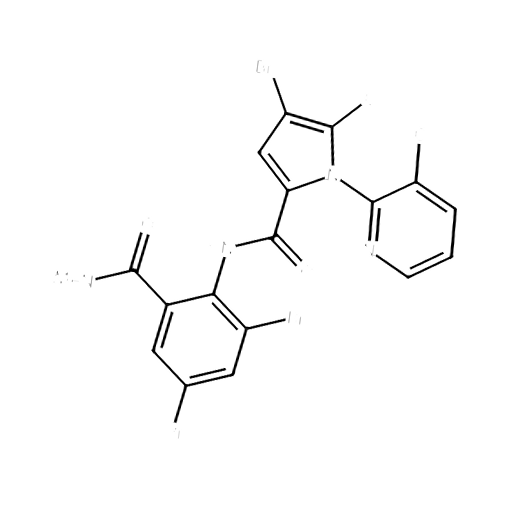 CNC(=O)c1cc(Br)cc(Br)c1NC(=O)c1cc(Br)c(Cl)n1-c1ncccc1Cl